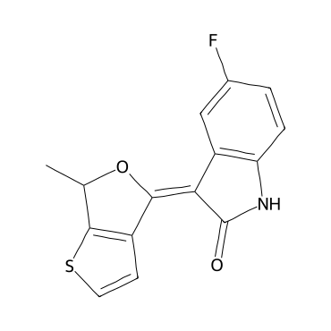 CC1OC(=C2C(=O)Nc3ccc(F)cc32)c2ccsc21